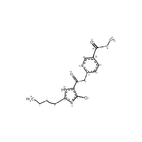 CCCCc1nc(Cl)c(C(=O)Cc2ccc(C(=O)OC)cn2)[nH]1